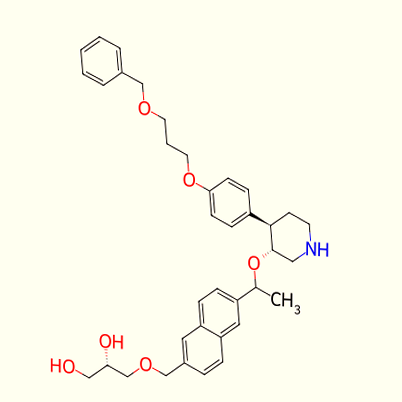 CC(O[C@H]1CNCC[C@@H]1c1ccc(OCCCOCc2ccccc2)cc1)c1ccc2cc(COC[C@@H](O)CO)ccc2c1